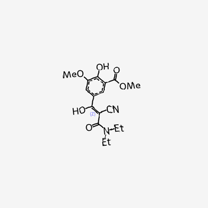 CCN(CC)C(=O)/C(C#N)=C(\O)c1cc(OC)c(O)c(C(=O)OC)c1